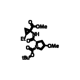 CC[C@@H]1C[C@]1(NC(=O)[C@@H]1C[C@@H](OC)CN1C(=O)OC(C)(C)C)C(=O)OC